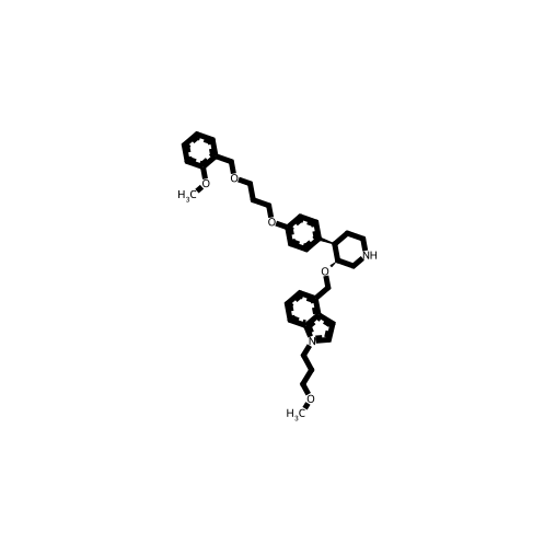 COCCCn1ccc2c(CO[C@H]3CNCC[C@@H]3c3ccc(OCCCOCc4ccccc4OC)cc3)cccc21